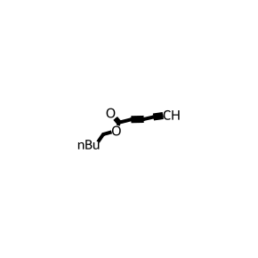 C#CC#CC(=O)OCCCCC